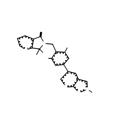 [2H]C1([2H])c2ncccc2C(=O)N1Cc1c(F)cc(-c2cnc3nn(C)cc3c2)cc1F